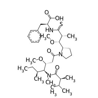 CC[C@H](C)[C@@H]([C@@H](CC(=O)N1CCC[C@H]1[C@H](OC)[C@@H](C)C(=S)N[C@@H](Cc1ccccc1)C(=O)O)OC)N(C)C(=O)[C@@H](C)C(C)C